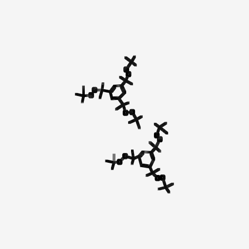 CC(C)(C)OOC(C)(C)c1cc(C(C)(C)OOC(C)(C)C)cc(C(C)(C)OOC(C)(C)C)c1.CC(C)(C)OOC(C)(C)c1cc(C(C)(C)OOC(C)(C)C)cc(C(C)(C)OOC(C)(C)C)c1